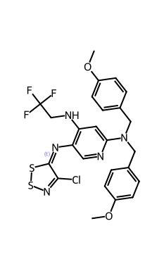 COc1ccc(CN(Cc2ccc(OC)cc2)c2cc(NCC(F)(F)F)c(/N=c3/ssnc3Cl)cn2)cc1